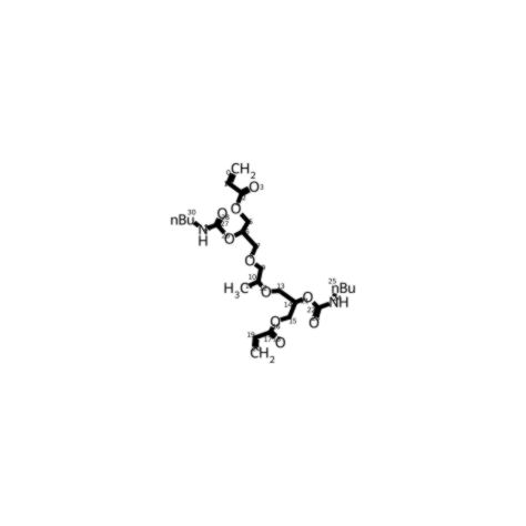 C=CC(=O)OCC(COCC(C)OCC(COC(=O)C=C)OC(=O)NCCCC)OC(=O)NCCCC